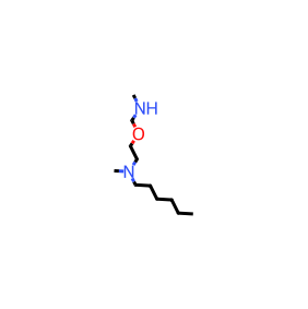 CCCCCCN(C)CCOCNC